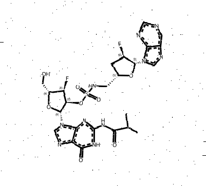 CC(C)C(=O)Nc1nc2c(ncn2[C@@H]2O[C@H](CO)[C@@H](F)[C@H]2OS(=O)(=O)NC[C@@H]2C[C@@H](F)[C@H](n3cnc4cncnc43)O2)c(=O)[nH]1